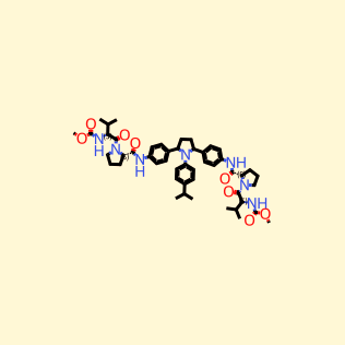 COC(=O)N[C@H](C(=O)N1CCC[C@H]1C(=O)Nc1ccc(C2CCC(c3ccc(NC(=O)[C@@H]4CCCN4C(=O)[C@@H](NC(=O)OC)C(C)C)cc3)N2c2ccc(C(C)C)cc2)cc1)C(C)C